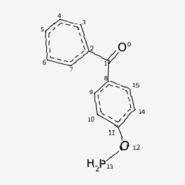 O=C(c1ccccc1)c1ccc(OP)cc1